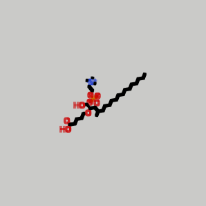 CCCCCCCCCCCCCCC(C)[C@@H](OP(=O)([O-])OCC[N+](C)(C)C)[C@H](CO)OCCCCC(=O)O